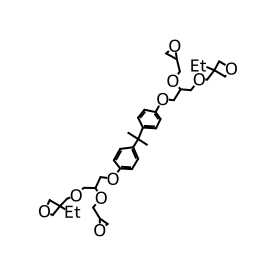 CCC1(COCC(COc2ccc(C(C)(C)c3ccc(OCC(COCC4(CC)COC4)OCC4CO4)cc3)cc2)OCC2CO2)COC1